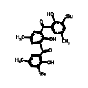 Cc1cc(C(=O)c2cc(C)cc(C(C)(C)C)c2O)c(O)c(C(=O)c2cc(C)cc(C(C)(C)C)c2O)c1